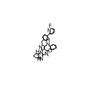 CN1C(=O)C2=C(Nc3ccccc3)C(Cc3ccc(-c4cccc(F)n4)cc3)N=C2N2C1=N[C@@H]1CCC[C@@H]12